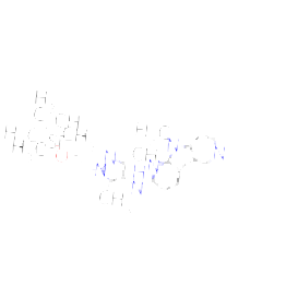 Cc1nn(CCO[Si](C)(C)C(C)(C)C)c(C)c1Nc1ccc2c3cnccc3n(C)c2n1